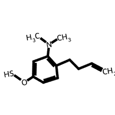 C=CCCc1ccc(OS)cc1N(C)C